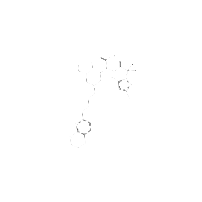 CO[C@H](CF)CN(CCCCc1ccc2c(n1)NCCC2)CC[C@H](NC(=O)C1(n2nc(C)cc2Cl)CC1)C(=O)O